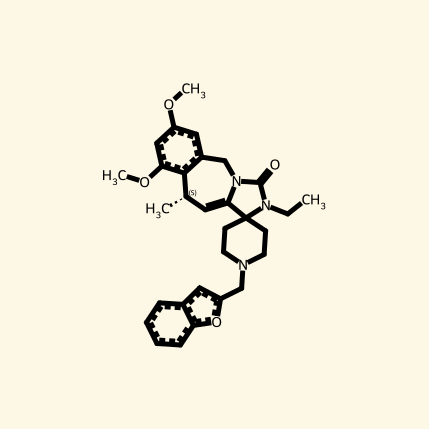 CCN1C(=O)N2Cc3cc(OC)cc(OC)c3[C@@H](C)C=C2C12CCN(Cc1cc3ccccc3o1)CC2